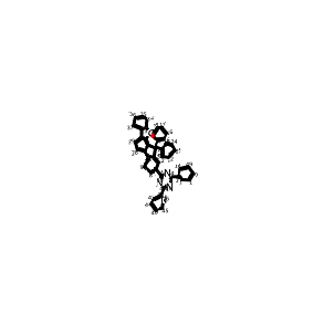 c1ccc(-c2nc(-c3ccc4c(c3)C(c3ccccc3)(c3ccccc3)c3c-4ccc4c3oc3ccccc34)nc(-c3ccccn3)n2)cc1